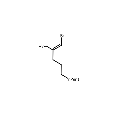 CCCCCCCCC(=CBr)C(=O)O